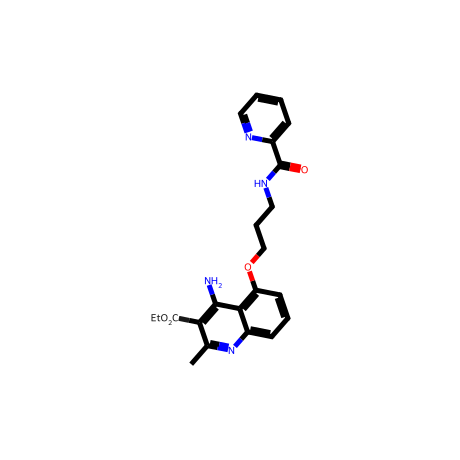 CCOC(=O)c1c(C)nc2cccc(OCCCNC(=O)c3ccccn3)c2c1N